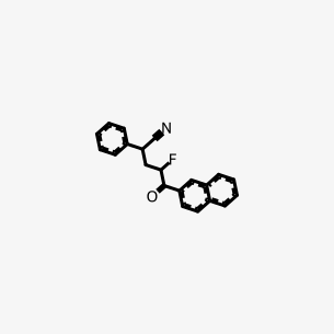 N#CC(CC(F)C(=O)c1ccc2ccccc2c1)c1ccccc1